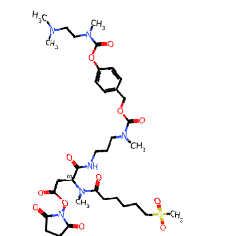 CN(C)CCN(C)C(=O)Oc1ccc(COC(=O)N(C)CCCNC(=O)[C@H](CC(=O)ON2C(=O)CCC2=O)N(C)C(=O)CCCCCS(C)(=O)=O)cc1